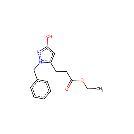 CCOC(=O)CCc1cc(O)nn1Cc1ccccc1